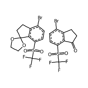 O=C1CCc2c(Br)ccc(S(=O)(=O)C(F)(F)F)c21.O=S(=O)(c1ccc(Br)c2c1C1(CC2)OCCO1)C(F)(F)F